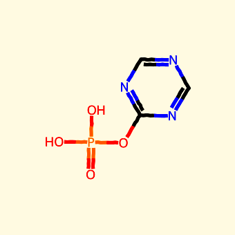 O=P(O)(O)Oc1ncncn1